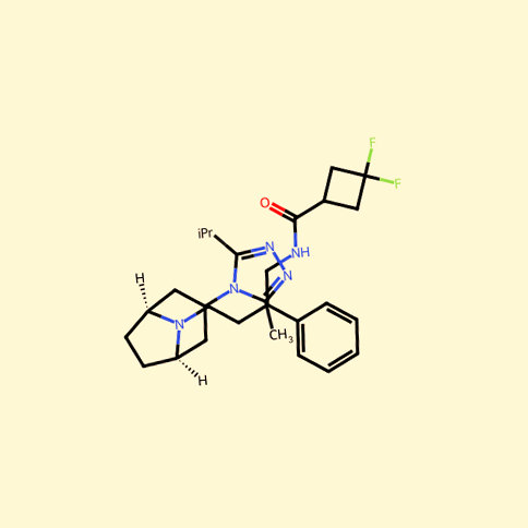 Cc1nnc(C(C)C)n1C1C[C@H]2CC[C@@H](C1)N2CCC(CNC(=O)C1CC(F)(F)C1)c1ccccc1